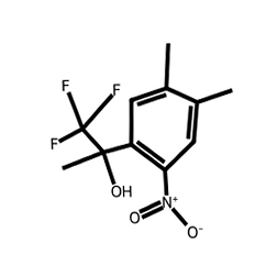 Cc1cc([N+](=O)[O-])c(C(C)(O)C(F)(F)F)cc1C